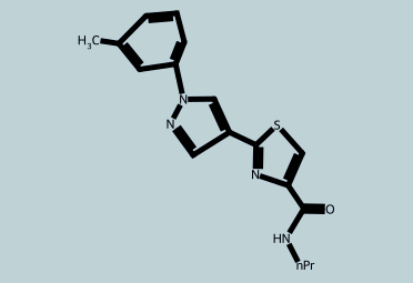 CCCNC(=O)c1csc(-c2cnn(-c3cccc(C)c3)c2)n1